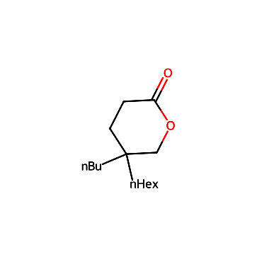 CCCCCCC1(CCCC)CCC(=O)OC1